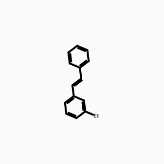 [CH2]Cc1cccc(C=Cc2ccccc2)c1